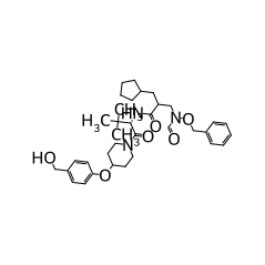 CC(C)(C)[C@H](NC(=O)C(CC1CCCC1)CN(C=O)OCc1ccccc1)C(=O)N1CCC(Oc2ccc(CO)cc2)CC1